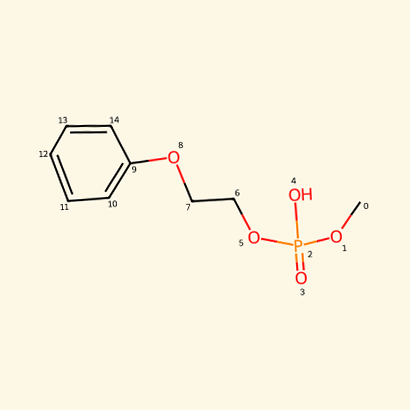 COP(=O)(O)OCCOc1ccccc1